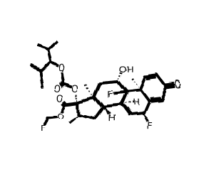 CC(C)C(OC(=O)O[C@@]1(C(=O)OCF)[C@H](C)C[C@H]2[C@@H]3C[C@H](F)C4=CC(=O)C=C[C@]4(C)C3(F)[C@@H](O)C[C@@]21C)C(C)C